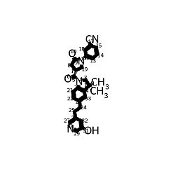 CC1(C)CN(C(=O)[C@H]2CC(=O)N(c3cccc(C#N)c3)C2)c2ccc(CCc3cncc(O)c3)cc21